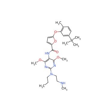 CCCN(CCNC)c1nc(OC)c(NC(=O)c2ccc(Oc3cc([Si](C)(C)C)ccc3C)o2)c(OC)n1